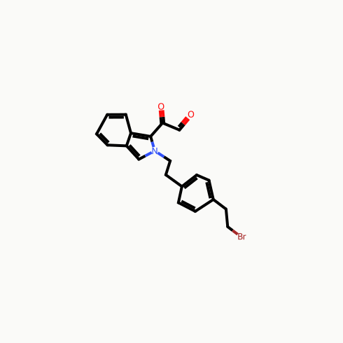 O=CC(=O)c1c2ccccc2cn1CCc1ccc(CCBr)cc1